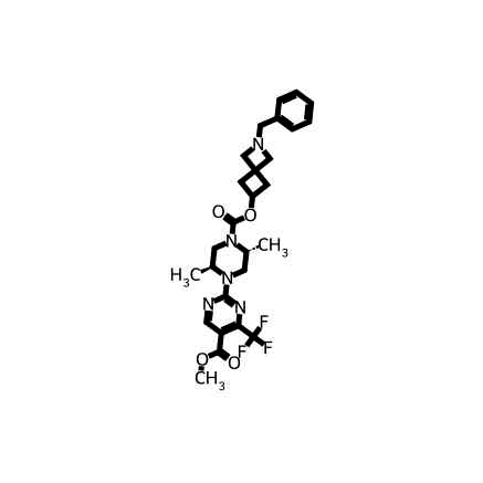 COC(=O)c1cnc(N2C[C@@H](C)N(C(=O)OC3CC4(C3)CN(Cc3ccccc3)C4)C[C@@H]2C)nc1C(F)(F)F